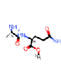 [2H]OC(=O)[C@H](CCC(N)=O)NC(=O)[C@H](C)N